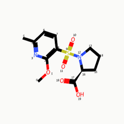 COc1nc(C)ccc1S(=O)(=O)N1CCC[C@H]1C(=O)O